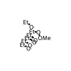 CCOOC.CC[O].CC[O].CC[O].CC[O].CC[O]